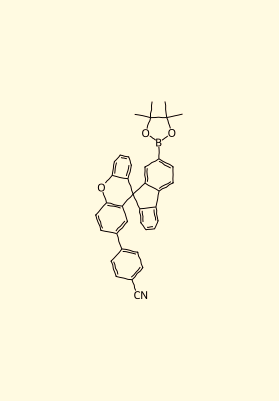 CC1(C)OB(c2ccc3c(c2)C2(c4ccccc4Oc4ccc(-c5ccc(C#N)cc5)cc42)c2ccccc2-3)OC1(C)C